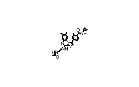 CC(=O)NCCNc1nc2cc(C)c(C)cc2n2c(-c3ccc(C(=O)NC4CC4)c(I)c3)cnc12